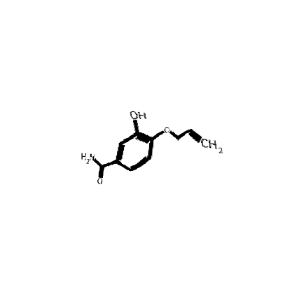 C=CCOc1ccc(C(N)=O)cc1O